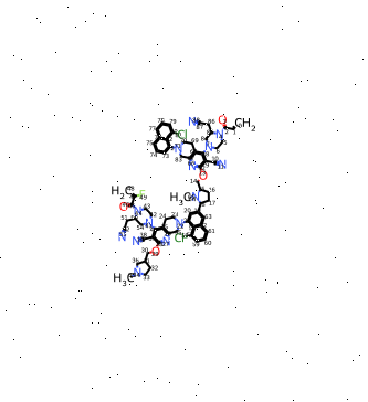 C=CC(=O)N1CCN(c2c(C#N)c(OCC3CCC(c4cc(N5CCc6c(nc(OCC7CCN(C)C7)c(C#N)c6N6CCN(C(=O)C(=C)F)C(CC#N)C6)C5)c5c(Cl)cccc5c4)N3C)nc3c2CCN(c2cccc4cccc(Cl)c24)C3)CC1CC#N